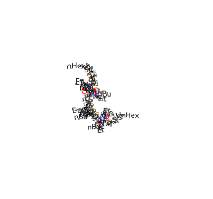 CCCCCCc1ccc(-c2ccc(-c3ccc(C4=C5C(=O)N(CC(CC)CCCC)C(c6ccc(-c7cc8c(s7)-c7sc(-c9ccc(C%10=C%11C(=O)N(CC(CC)CCCC)C(c%12ccc(-c%13ccc(-c%14ccc(CCCCCC)s%14)s%13)s%12)=C%11C(=O)N%10CC(CC)CCCC)s9)cc7[Si]8(CC(CC)CCCC)CC(CC)CCCC)s6)=C5C(=O)N4CC(CC)CCCC)s3)s2)s1